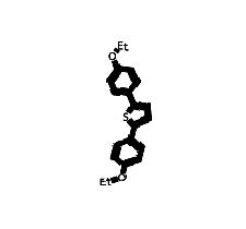 CCOc1ccc(-c2ccc(-c3ccc(OCC)cc3)s2)cc1